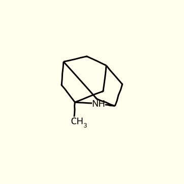 CC12CC3CC(CC(C3)N1)C2